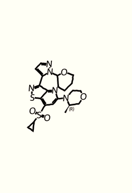 C[C@@H]1COCCN1c1cc(S(=O)(=O)C2CC2)c2snc(-c3ccnn3C3CCCCO3)c2n1